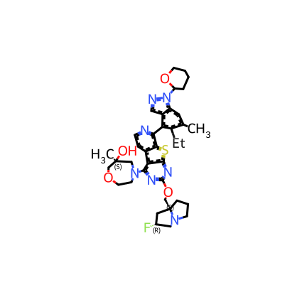 CCc1c(C)cc2c(cnn2C2CCCCO2)c1-c1nccc2c1sc1nc(OC[C@@]34CCCN3C[C@H](F)C4)nc(N3CCOC[C@@](C)(O)C3)c12